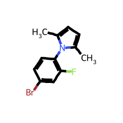 Cc1ccc(C)n1-c1ccc(Br)cc1F